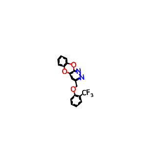 FC(F)(F)c1ccccc1OCc1cc2c(nn1)Oc1ccccc1O2